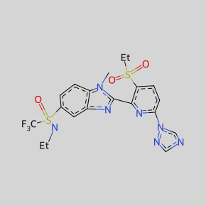 CCN=S(=O)(c1ccc2c(c1)nc(-c1nc(-n3cncn3)ccc1S(=O)(=O)CC)n2C)C(F)(F)F